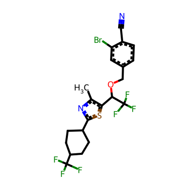 Cc1nc(C2CCC(C(F)(F)F)CC2)sc1C(OCc1ccc(C#N)c(Br)c1)C(F)(F)F